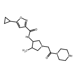 CC1CN(CC(=O)N2CCNCC2)CC1NC(=O)c1cc(C2CC2)on1